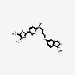 CCCN(CCCOc1ccc2c(c1)CC[C@@H]2OC(C)=O)c1ccc(-c2nc(C)c(C)s2)cn1